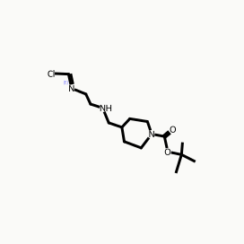 CC(C)(C)OC(=O)N1CCC(CNCC/N=C/Cl)CC1